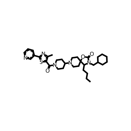 CCCCC1N(CC2CCCCC2)C(=O)OC12CCN(C1CCN(C(=O)c3sc(-c4cccnc4)nc3C)CC1)CC2